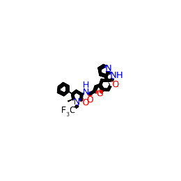 C[C@H]1[C@@H](c2ccccc2)C[C@@H](NC(=O)c2cc3c(o2)CC[C@@]2(C3)C(=O)Nc3ncccc32)C(=O)N1CC(F)(F)F